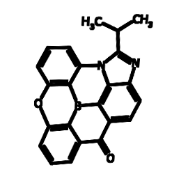 CC(C)c1nc2ccc3c4c2n1-c1cccc2c1B4c1c(cccc1C3=O)O2